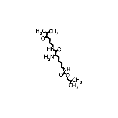 CC(C)COC(=O)NCCCCC(N)C(=O)NCCCC(=O)C(C)C